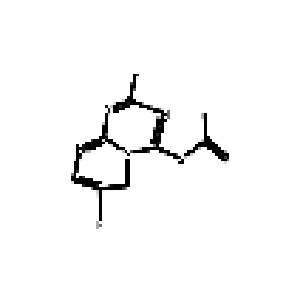 C=C(C)SC1=NC(C)=NC2=NC=C(CC)CN21